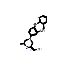 CC1CN(c2ccc3c(c2)NCc2cccnc2N3)C/C(=C\O)O1